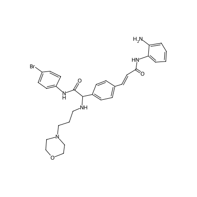 Nc1ccccc1NC(=O)C=Cc1ccc(C(NCCCN2CCOCC2)C(=O)Nc2ccc(Br)cc2)cc1